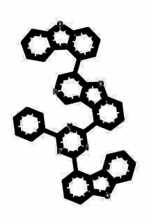 c1ccc(-c2nc(-c3cccc4oc5ccccc5c34)nc(-c3cccc4oc5c(-c6cccc7oc8ccccc8c67)cncc5c34)n2)cc1